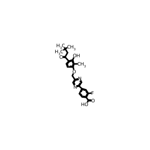 Cc1c(OCc2cnc(-c3ccc(C(=O)O)c(F)c3)cn2)ccc(C(=O)CC(C)(C)C)c1O